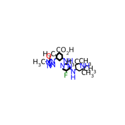 Cc1c(C(=O)O)cc(Nc2ncc(F)c(NC3CC(C)(C)NC(C)(C)C3)n2)cc1-n1nnn(C)c1=O